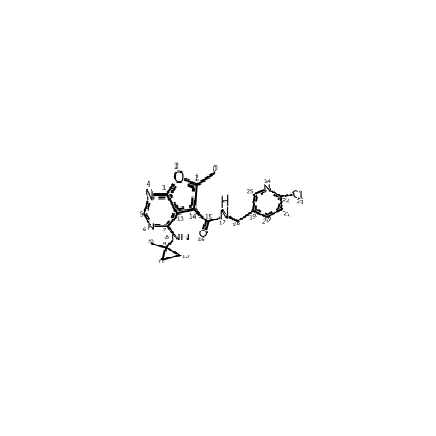 Cc1oc2ncnc(NC3(C)CC3)c2c1C(=O)NCc1ccc(Cl)nc1